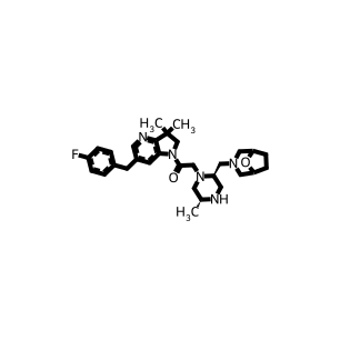 C[C@@H]1CN(CC(=O)N2CC(C)(C)c3ncc(Cc4ccc(F)cc4)cc32)[C@@H](CN2CC3CCC(C2)O3)CN1